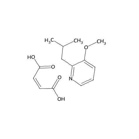 COc1cccnc1CC(C)C.O=C(O)/C=C\C(=O)O